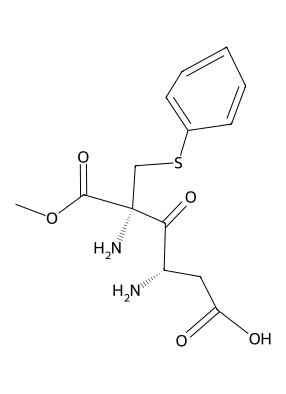 COC(=O)[C@@](N)(CSc1ccccc1)C(=O)[C@@H](N)CC(=O)O